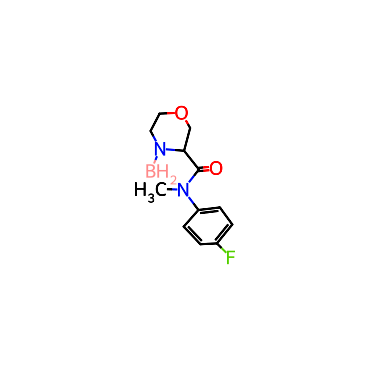 BN1CCOCC1C(=O)N(C)c1ccc(F)cc1